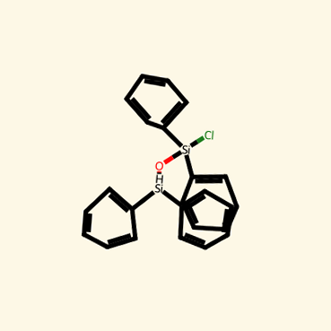 Cl[Si](O[SiH](c1ccccc1)c1ccccc1)(c1ccccc1)c1ccccc1